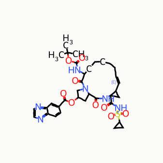 CC(C)(C)OC(=O)NC1CCCCC/C=C/C2CC2(C(=O)NS(=O)(=O)C2CC2)NC(=O)C2CC(OC(=O)c3ccc4nccnc4c3)CN2C1=O